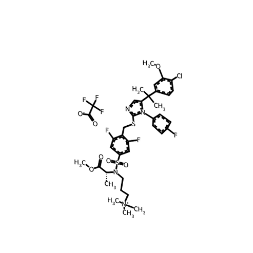 COC(=O)[C@@H](C)N(CCC[N+](C)(C)C)S(=O)(=O)c1cc(F)c(CSc2ncc(C(C)(C)c3ccc(Cl)c(OC)c3)n2-c2ccc(F)cc2)c(F)c1.O=C([O-])C(F)(F)F